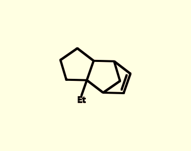 CCC12CCCC1C1C=CC2C1